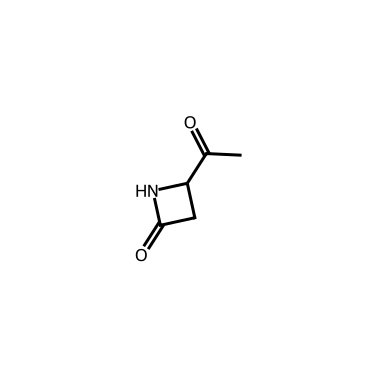 CC(=O)C1CC(=O)N1